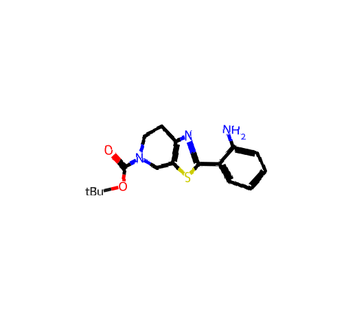 CC(C)(C)OC(=O)N1CCc2nc(-c3ccccc3N)sc2C1